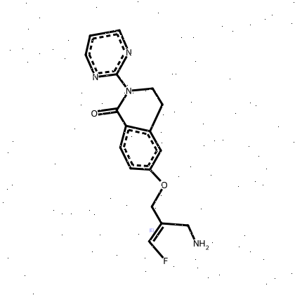 NC/C(=C\F)COc1ccc2c(c1)CCN(c1ncccn1)C2=O